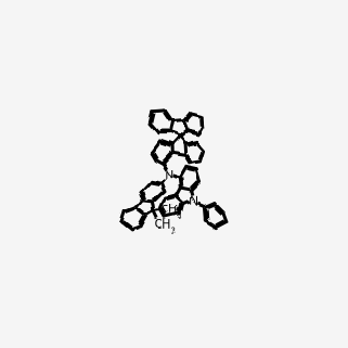 CC1(C)c2ccccc2-c2ccc(N(c3cccc4c3-c3ccccc3C43c4ccccc4-c4ccccc43)c3cccc4c3c3ccccc3n4-c3ccccc3)cc21